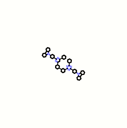 c1ccc(-c2cc(-c3cccc(-c4cccc(-c5nc(-c6ccccc6)nc(-c6ccc(-n7c8ccccc8c8ccccc87)cc6)n5)c4)c3)nc(-c3ccc(-n4c5ccccc5c5ccccc54)cc3)n2)cc1